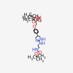 CC(C)(C)OC(=O)NCCNC1=NCC(c2ccc(OCC(O[Si](C)(C)C(C)(C)C)C(=O)O)cc2)CN1